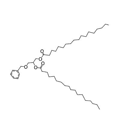 CCCCCCCCCCCCCCCCCC(=O)OCC(COCc1ccccc1)OC(=O)CCCCCCCCCCCCCCCCC